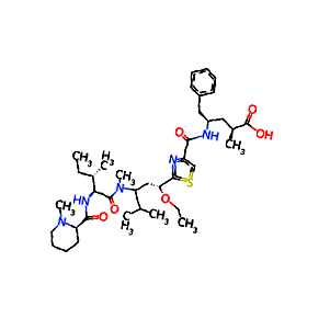 CCO[C@H](CC(C(C)C)N(C)C(=O)[C@@H](NC(=O)[C@H]1CCCCN1C)[C@@H](C)CC)c1nc(C(=O)N[C@@H](Cc2ccccc2)C[C@H](C)C(=O)O)cs1